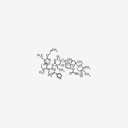 C=CCOC(=O)[C@H](CC)[C@H]1CC[C@H](C)[C@H]([C@@H](C)[C@H](OC(=O)n2ccnc2)[C@H](C)C(=O)[C@H](CC)[C@H]2O[C@]3(C=C[C@@H](OC(N)=O)[C@]4(CC[C@@](C)([C@H]5CC[C@](O)(CC)[C@H](C)O5)O4)O3)[C@H](C)C[C@@H]2C)O1